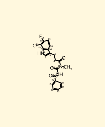 CN(C(=O)CCc1c[nH]c2c(Cl)c(F)ccc12)C(=O)N[S+]([O-])c1ccccc1